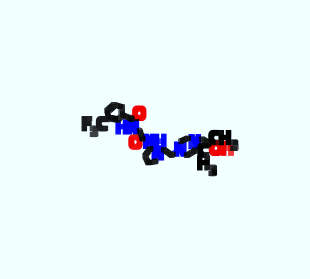 CC(C)(O)CN1CCN(CCN2CCCC2NC(=O)CNC(=O)c2cccc(C(F)(F)F)c2)CC1